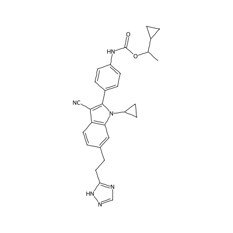 CC(OC(=O)Nc1ccc(-c2c(C#N)c3ccc(CCc4ncn[nH]4)cc3n2C2CC2)cc1)C1CC1